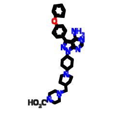 Nc1ncnc2c1c(-c1ccc(Oc3ccccc3)cc1)nn2C1CCC(N2CCC(CN3CCN(C(=O)O)CC3)CC2)CC1